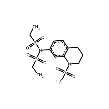 CCS(=O)(=O)N(c1ccc2c(c1)N(S(C)(=O)=O)CCC2)S(=O)(=O)CC